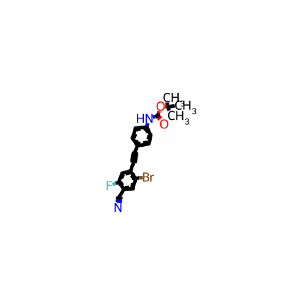 CC(C)(C)OC(=O)Nc1ccc(C#Cc2cc(F)c(C#N)cc2Br)cc1